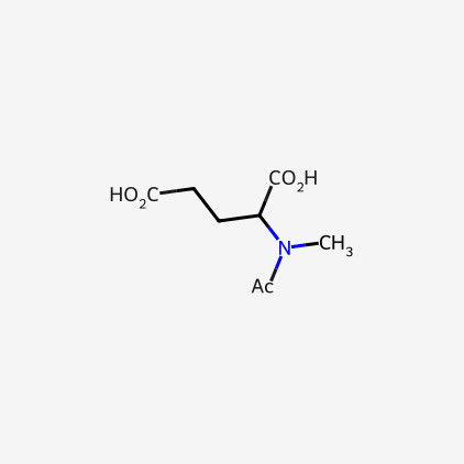 CC(=O)N(C)C(CCC(=O)O)C(=O)O